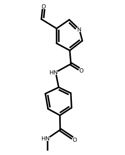 CNC(=O)c1ccc(NC(=O)c2cncc(C=O)c2)cc1